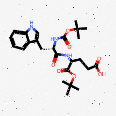 CC(C)(C)OC(=O)N[C@@H](Cc1c[nH]c2ccccc12)C(=O)NC(CCC(=O)O)C(=O)OC(C)(C)C